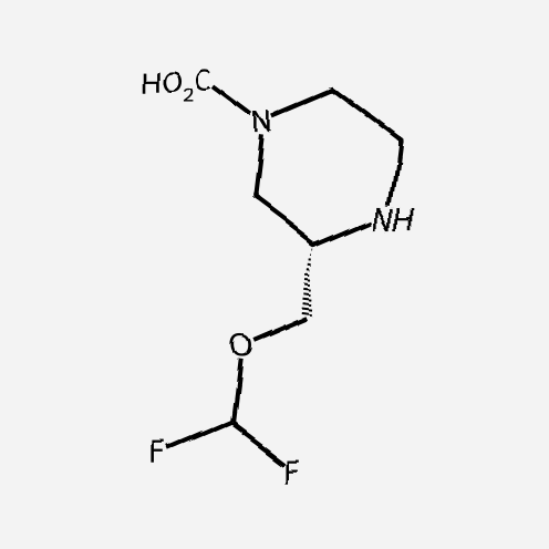 O=C(O)N1CCN[C@H](COC(F)F)C1